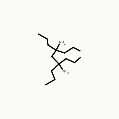 CCCC(N)(CCC)CC(N)(CCC)CCC